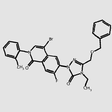 CCn1c(COCc2ccccc2)nn(-c2cc3c(Br)cn(-c4ccccc4C)c(=O)c3cc2F)c1=O